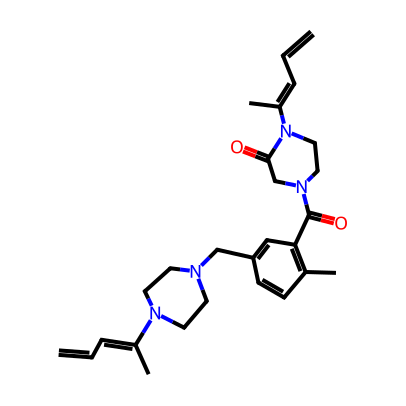 C=C/C=C(\C)N1CCN(Cc2ccc(C)c(C(=O)N3CCN(/C(C)=C/C=C)C(=O)C3)c2)CC1